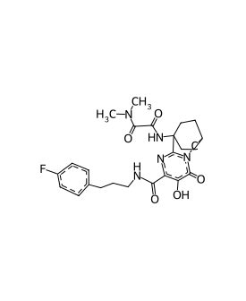 CN(C)C(=O)C(=O)NC12CCC(CC1)Cn1c2nc(C(=O)NCCCc2ccc(F)cc2)c(O)c1=O